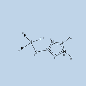 Cc1nc(SC(F)(F)F)cn1C